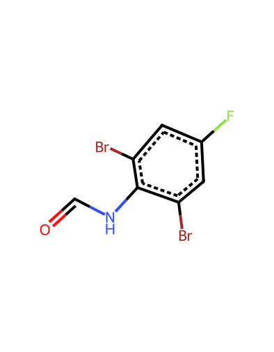 O=CNc1c(Br)cc(F)cc1Br